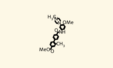 COC(=O)c1ccc(-c2ccc(C(=O)Nc3ccc(OC)c(N4CCN(C)CC4)c3)cc2)c(C)c1